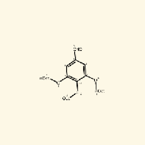 CCCCCCCCOc1cc(C=O)cc(OCCCCCCCC)c1OCCCCCCCC